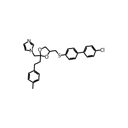 Cc1ccc(CCC2(Cn3ccnc3)OCC(CSc3ccc(-c4ccc(Cl)cc4)cc3)O2)cc1